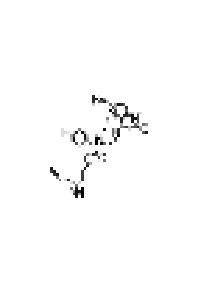 C#CCCC1(CCCOC(=O)C(c2ccc(F)cc2)N2CCN(c3cc(=O)n(C)c4ccc(C#N)nc34)C(C)C2)N=N1